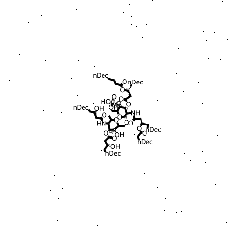 CCCCCCCCCCCCCC(=O)O[C@H](CCCCCCCCCCC)CC(=O)O[C@@H]1C(NC(=O)C[C@@H](CCCCCCCCCCC)OC(=O)CCCCCCCCCCC)[C@H](OCC2OC(C)C(NC(=O)C[C@H](O)CCCCCCCCCCC)[C@@H](OC(=O)C[C@H](O)CCCCCCCCCCC)[C@@H]2O)OC(CO)[C@H]1OP(=O)(O)O